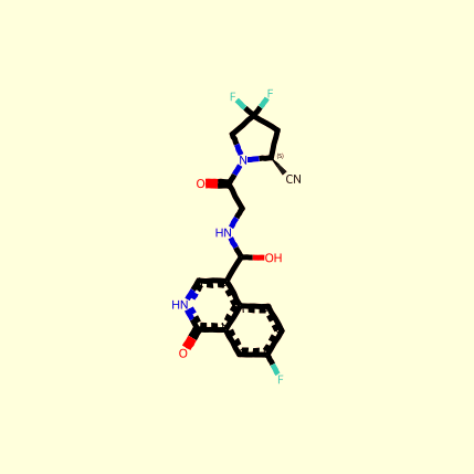 N#C[C@@H]1CC(F)(F)CN1C(=O)CNC(O)c1c[nH]c(=O)c2cc(F)ccc12